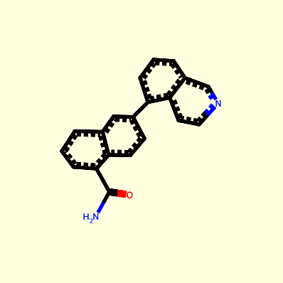 NC(=O)c1cccc2cc(-c3cccc4cnccc34)ccc12